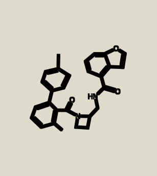 Cc1ccc(-c2cccc(C)c2C(=O)N2CCC2CNC(=O)c2cccc3occc23)cc1